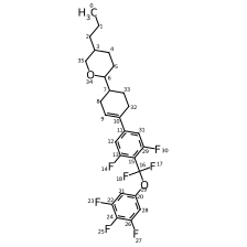 CCCC1CCC(C2CC=C(c3cc(F)c(C(F)(F)Oc4cc(F)c(F)c(F)c4)c(F)c3)CC2)OC1